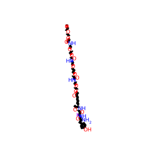 COCCOCCOCC(=O)NCCOCCOCC(=O)NCCOCCCOCC(=O)NCCOCCOCC(=O)CCCCC[C@H](NCC(=O)C(I)NC(=O)[C@@H](N)Cc1ccc(O)cc1)C(C)=O